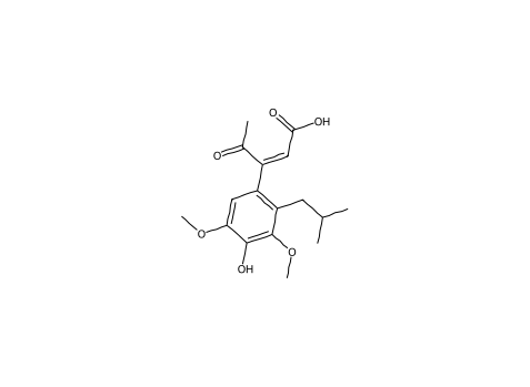 COc1cc(C(=CC(=O)O)C(C)=O)c(CC(C)C)c(OC)c1O